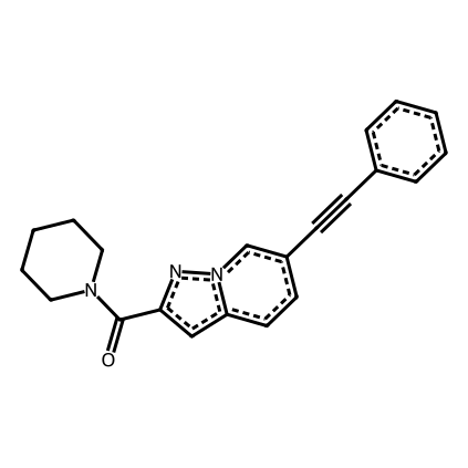 O=C(c1cc2ccc(C#Cc3ccccc3)cn2n1)N1CCCCC1